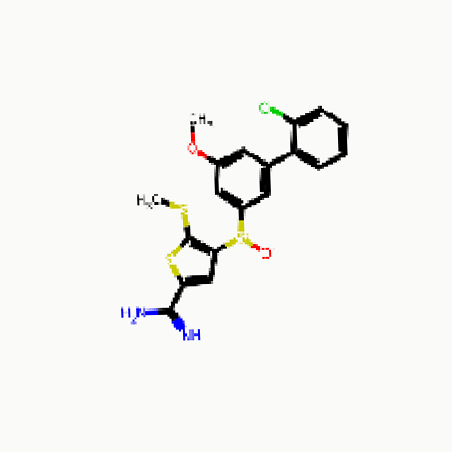 COc1cc(-c2ccccc2Cl)cc([S+]([O-])c2cc(C(=N)N)sc2SC)c1